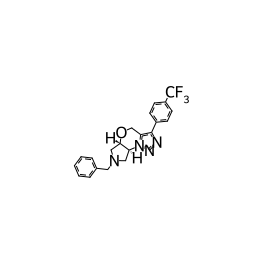 FC(F)(F)c1ccc(-c2nnn3c2CO[C@H]2CN(Cc4ccccc4)C[C@@H]23)cc1